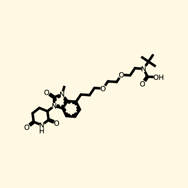 Cn1c(=O)n(C2CCC(=O)NC2=O)c2cccc(CCCOCCOCCN(C(=O)O)C(C)(C)C)c21